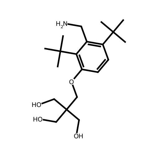 CC(C)(C)c1ccc(OCC(CO)(CO)CO)c(C(C)(C)C)c1CN